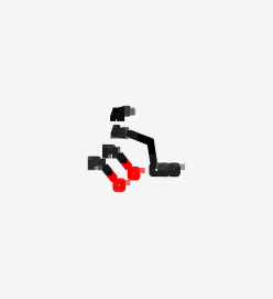 CC(=O)CC(=O)[O-].CC(C)[O-].CC(C)[O-].[Al+3]